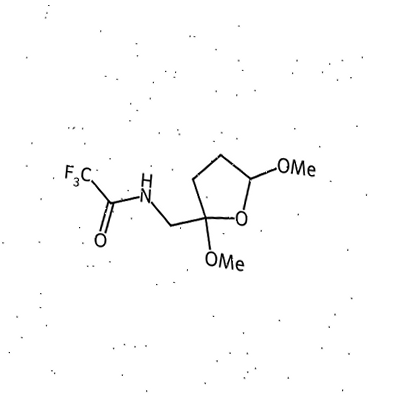 COC1CCC(CNC(=O)C(F)(F)F)(OC)O1